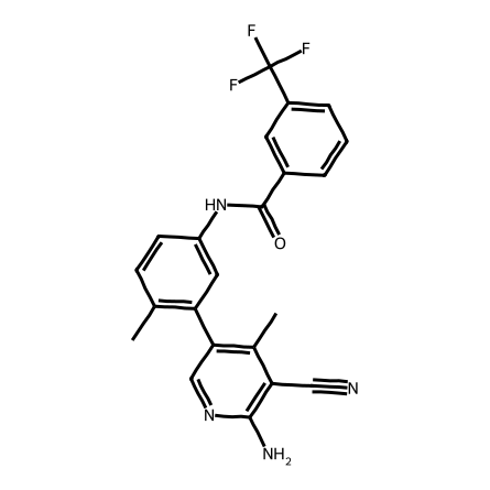 Cc1ccc(NC(=O)c2cccc(C(F)(F)F)c2)cc1-c1cnc(N)c(C#N)c1C